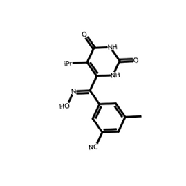 Cc1cc(C#N)cc(/C(=N\O)c2[nH]c(=O)[nH]c(=O)c2C(C)C)c1